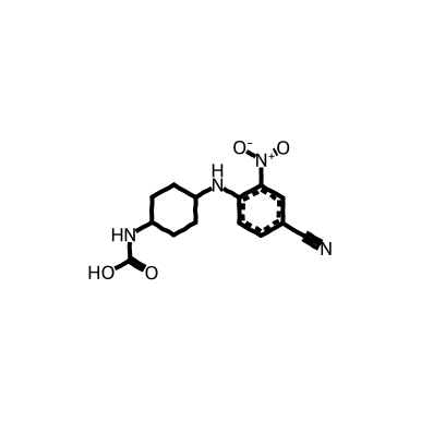 N#Cc1ccc(NC2CCC(NC(=O)O)CC2)c([N+](=O)[O-])c1